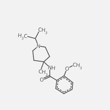 COc1ccccc1C(=O)NC1(C)CCN(C(C)C)CC1